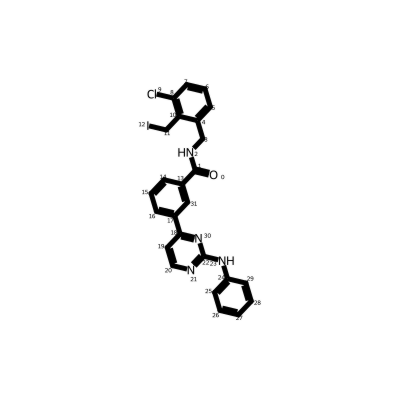 O=C(NCc1cccc(Cl)c1CI)c1cccc(-c2ccnc(Nc3ccccc3)n2)c1